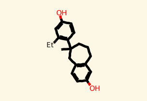 CCc1cc(O)ccc1C1(C)CCCc2cc(O)ccc2C1